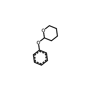 c1ccc(OC2CCCCO2)cc1